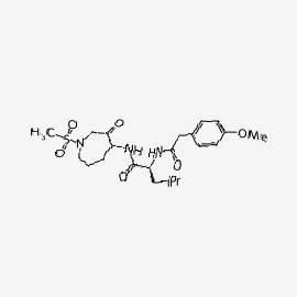 COc1ccc(CC(=O)N[C@@H](CC(C)C)C(=O)NC2CCCN(S(C)(=O)=O)CC2=O)cc1